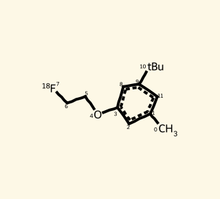 Cc1cc(OCC[18F])cc(C(C)(C)C)c1